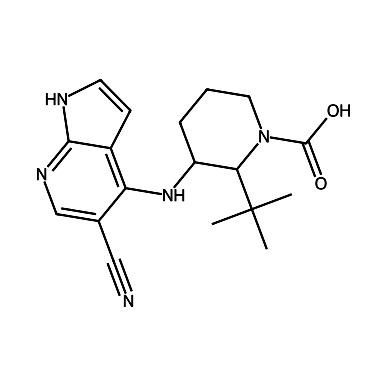 CC(C)(C)C1C(Nc2c(C#N)cnc3[nH]ccc23)CCCN1C(=O)O